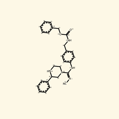 N#CN=C(Nc1ccc(CNC(=O)OCc2ccccc2)cc1)N1CCNC(c2ccccc2)C1